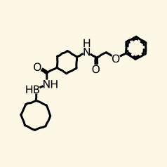 O=C(COc1ccccc1)NC1CCC(C(=O)NBC2CCCCCCC2)CC1